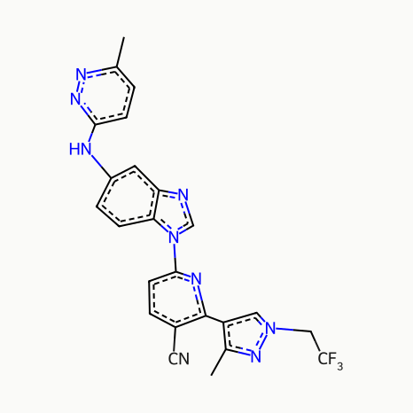 Cc1ccc(Nc2ccc3c(c2)ncn3-c2ccc(C#N)c(-c3cn(CC(F)(F)F)nc3C)n2)nn1